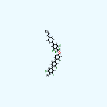 CC/C=C/C1CCC(c2cc(F)c(C(F)(F)Oc3ccc(-c4ccc(-c5cc(F)c(CCC)c(F)c5)c(F)c4)c(F)c3)c(F)c2)CC1